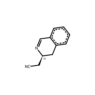 N#CC[C@@H]1Cc2ccccc2C=N1